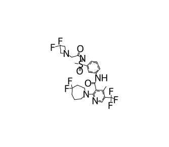 Cc1c(C(F)(F)F)cnc(N2CCCC(F)(F)CC2)c1C(=O)Nc1cccc(S(C)(=O)=NC(=O)CN2CC(F)(F)C2)c1